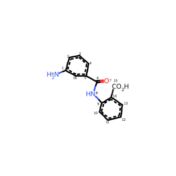 Nc1cccc(C(=O)Nc2ccccc2C(=O)O)c1